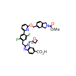 COC(=O)N1Cc2ccc(COc3cccc(-c4cc(F)c(Cc5nc6ccc(C(=O)O)cc6n5C[C@@H]5CCO5)cc4F)n3)cc2C1